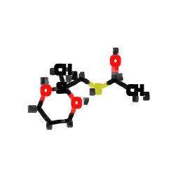 CC(=O)SC[Si]1(C)OCCCO1